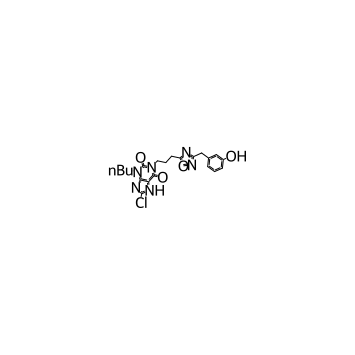 CCCCn1c(=O)n(CCCc2nc(Cc3cccc(O)c3)no2)c(=O)c2[nH]c(Cl)nc21